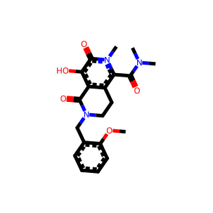 COc1ccccc1CN1CCc2c(c(O)c(=O)n(C)c2C(=O)N(C)C)C1=O